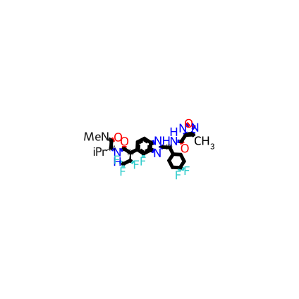 CNC(=O)[C@H](NC(=O)[C@@H](c1ccc2[nH]c([C@@H](NC(=O)c3nonc3C)C3CCC(F)(F)CC3)nc2c1F)C(F)C(F)F)C(C)C